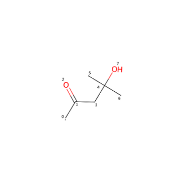 [CH2]C(=O)CC(C)(C)O